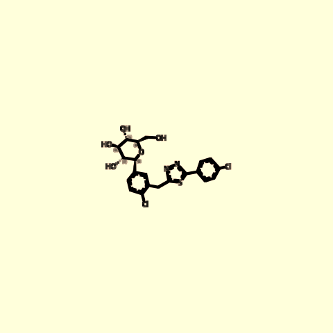 OC[C@H]1O[C@@H](c2ccc(Cl)c(Cc3nnc(-c4ccc(Cl)cc4)s3)c2)[C@H](O)[C@@H](O)[C@@H]1O